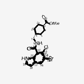 COC(=O)[C@H]1CC[C@H](CNC(=O)c2c(Cl)c(Br)cc3cc[nH]c23)CC1